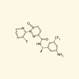 C[C@@H](NC(=O)c1ccc(=O)n(-c2ncccc2F)n1)c1cc(N)cc(C(F)(F)F)c1